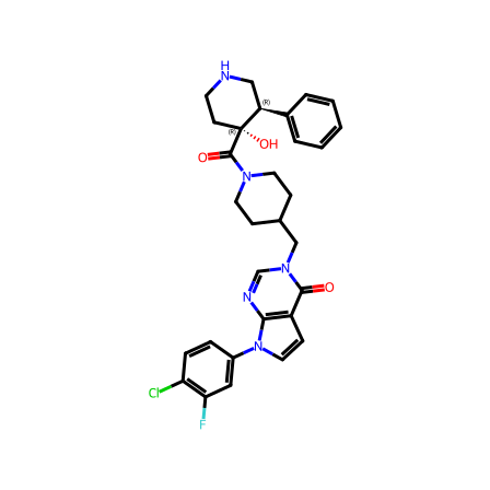 O=C(N1CCC(Cn2cnc3c(ccn3-c3ccc(Cl)c(F)c3)c2=O)CC1)[C@@]1(O)CCNC[C@H]1c1ccccc1